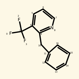 FC(F)(F)c1cccnc1Cc1ccccc1